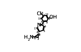 N[C@@H]1C[C@H]1c1ccc(-c2cc(O)cc(Cl)c2)nc1